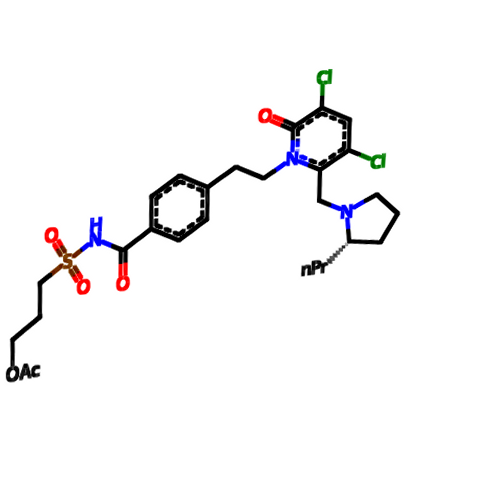 CCC[C@H]1CCCN1Cc1c(Cl)cc(Cl)c(=O)n1CCc1ccc(C(=O)NS(=O)(=O)CCCOC(C)=O)cc1